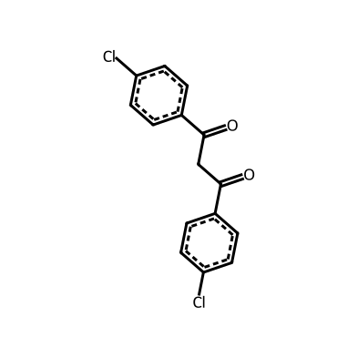 O=C(CC(=O)c1ccc(Cl)cc1)c1ccc(Cl)cc1